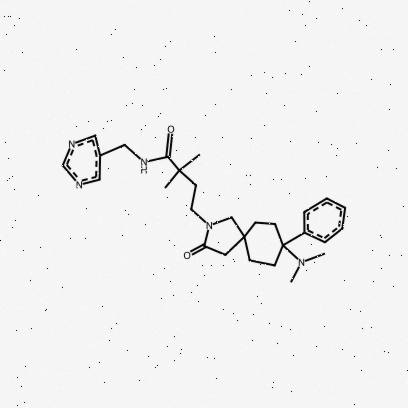 CN(C)C1(c2ccccc2)CCC2(CC1)CC(=O)N(CCC(C)(C)C(=O)NCc1cncnc1)C2